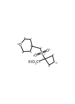 CCOC(=O)C1(S(=O)(=O)CC2CCOCC2)CCC1